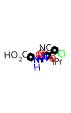 CC(C)Oc1cn(C(C)C(=O)Nc2ccc(C(=O)O)cc2)c(=O)cc1-c1cc(Cl)ccc1C#N